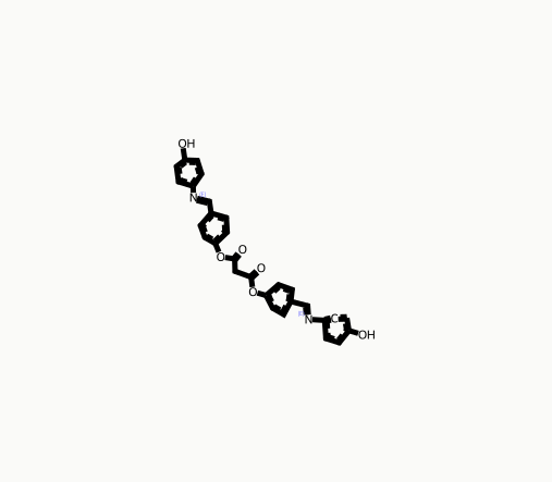 O=C(CC(=O)Oc1ccc(/C=N/c2ccc(O)cc2)cc1)Oc1ccc(/C=N/c2ccc(O)cc2)cc1